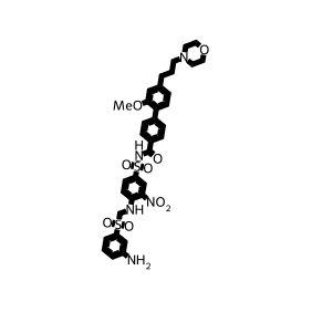 COc1cc(CCCN2CCOCC2)ccc1-c1ccc(C(=O)NS(=O)(=O)c2ccc(NCS(=O)(=O)c3cccc(N)c3)c([N+](=O)[O-])c2)cc1